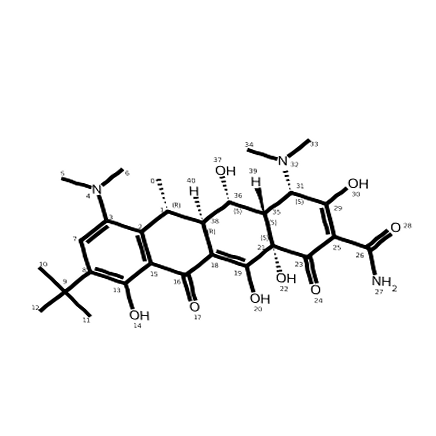 C[C@H]1c2c(N(C)C)cc(C(C)(C)C)c(O)c2C(=O)C2=C(O)[C@]3(O)C(=O)C(C(N)=O)=C(O)[C@@H](N(C)C)[C@H]3[C@@H](O)[C@@H]21